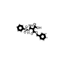 NC(NS(=O)(=O)c1ccccc1)C(C(=O)O)C(=O)OCc1ccccc1